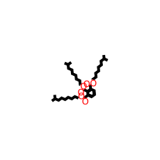 CC(C)CCCCCCCOC(=O)c1cccc(C(=O)OCCCCCCCC(C)C)c1C(=O)OCCCCCCCC(C)C